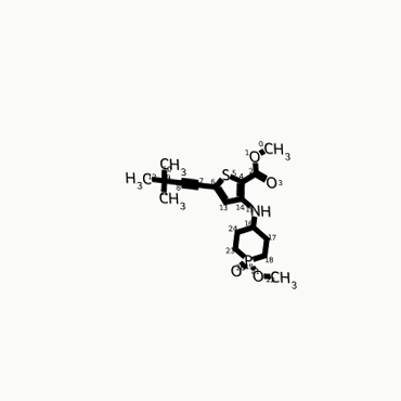 COC(=O)c1sc(C#CC(C)(C)C)cc1NC1CCP(=O)(OC)CC1